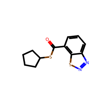 O=C(SC1CCCC1)c1cccc2nnsc12